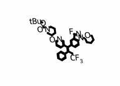 CC(C)(C)OC(=O)N1CCC[C@H](Oc2ccc(/C(=C(/CC(F)(F)F)c3ccccc3)c3ccc4c(c3)c(F)nn4C3CCCCO3)cn2)C1